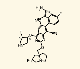 N#Cc1c(-c2ccc(F)c3sc(N)c(C#N)c23)c(Cl)cc2c(O[C@H]3CNC[C@H]3F)nc(OC[C@@]34CCCN3C[C@H](F)C4)nc12